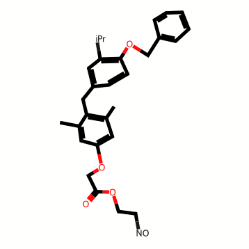 Cc1cc(OCC(=O)OCCN=O)cc(C)c1Cc1ccc(OCc2ccccc2)c(C(C)C)c1